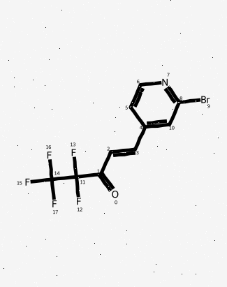 O=C(/C=C/c1ccnc(Br)c1)C(F)(F)C(F)(F)F